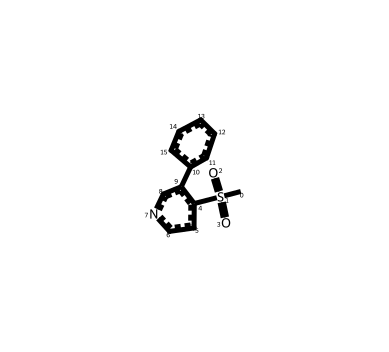 CS(=O)(=O)c1ccn[c]c1-c1ccccc1